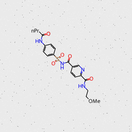 CCCC(=O)Nc1ccc(S(=O)(=O)NC(=O)c2ccc(C(=O)NCCOC)nc2)cc1